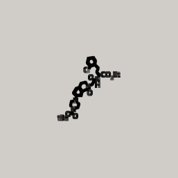 CCOC(=O)[C@H](CCc1ccccc1Cl)NC(=O)CN1CCc2ccc(N3CCN(C(=O)OC(C)(C)C)CC3)cc2C1=O